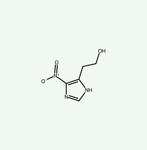 O=[N+]([O-])c1nc[nH]c1CCO